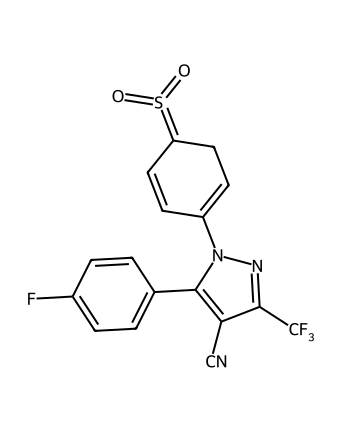 N#Cc1c(C(F)(F)F)nn(C2=CCC(=S(=O)=O)C=C2)c1-c1ccc(F)cc1